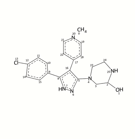 C.OC1CN(c2n[nH]c(-c3ccc(Cl)cc3)c2-c2ccncc2)CCN1